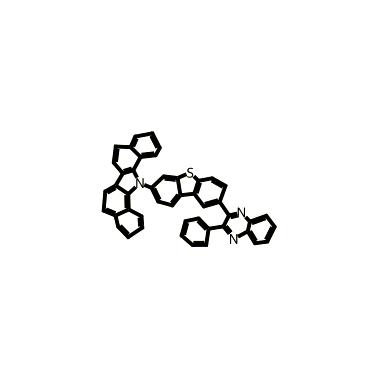 c1ccc(-c2nc3ccccc3nc2-c2ccc3sc4cc(-n5c6c7ccccc7ccc6c6ccc7ccccc7c65)ccc4c3c2)cc1